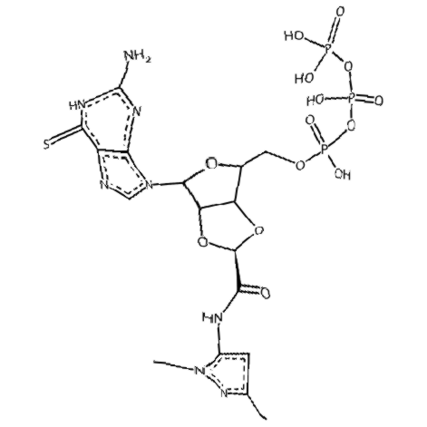 Cc1cc(NC(=O)[C@@H]2OC3C(COP(=O)(O)OP(=O)(O)OP(=O)(O)O)OC(n4cnc5c(=S)[nH]c(N)nc54)C3O2)n(C)n1